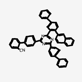 N#Cc1ccccc1-c1ccc(-c2nc(-c3ccc(-c4ccccc4)cc3)nc(-c3cc(-c4ccccc4)ccc3-c3ccc4ccccc4c3)n2)cc1